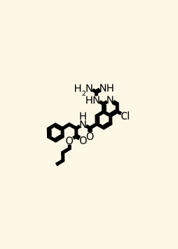 CCCCOC(=O)C(Cc1ccccc1)NC(=O)c1ccc2c(Cl)cnc(NC(=N)N)c2c1